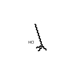 CCCCCCCCCCCCCCC[CH2][Sn]([CH2]CCC)([CH2]CCC)[CH2]CCC.Cl